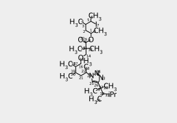 CC(CC(C)C(C)I)OC(=O)C(C)(C)COCC(C)C(C)CC(C)n1cc(C(C)(C)C(C)C(C)C)nn1